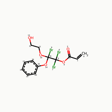 C=CC(=O)OC(Br)(Br)C(Br)(OCCO)Oc1ccccc1